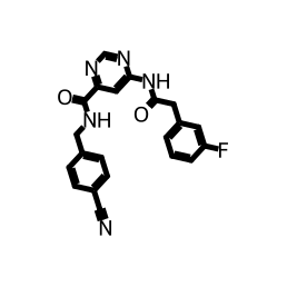 N#Cc1ccc(CNC(=O)c2cc(NC(=O)Cc3cccc(F)c3)ncn2)cc1